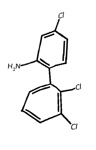 Nc1cc(Cl)ccc1-c1cccc(Cl)c1Cl